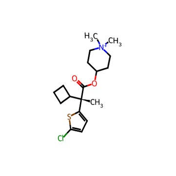 C[C@@](C(=O)OC1CC[N+](C)(C)CC1)(c1ccc(Cl)s1)C1CCC1